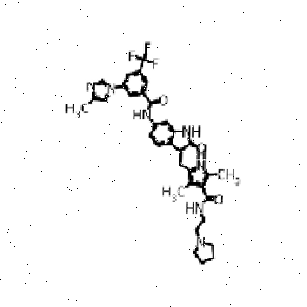 Cc1cn(-c2cc(C(=O)Nc3ccc4c(c3)NC(=O)C4=Cc3[nH]c(C)c(C(=O)NCCN4CCCC4)c3C)cc(C(F)(F)F)c2)cn1